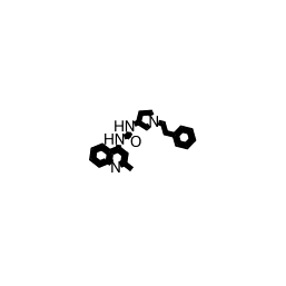 Cc1cc(NC(=O)NC2CCN(CCc3ccccc3)C2)c2ccccc2n1